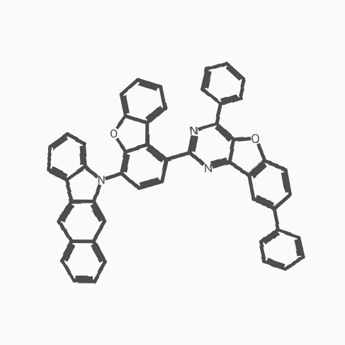 c1ccc(-c2ccc3oc4c(-c5ccccc5)nc(-c5ccc(-n6c7ccccc7c7cc8ccccc8cc76)c6oc7ccccc7c56)nc4c3c2)cc1